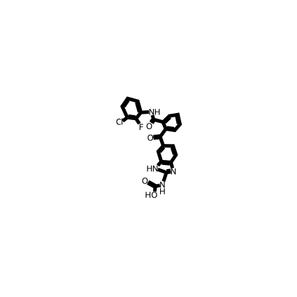 O=C(O)Nc1nc2ccc(C(=O)c3ccccc3C(=O)Nc3cccc(Cl)c3F)cc2[nH]1